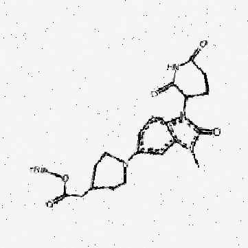 Cn1c(=O)n(C2CCC(=O)NC2=O)c2ccc(N3CCC(CC(=O)OC(C)(C)C)CC3)cc21